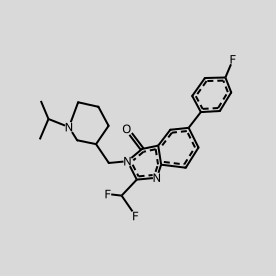 CC(C)N1CCCC(Cn2c(C(F)F)nc3ccc(-c4ccc(F)cc4)cc3c2=O)C1